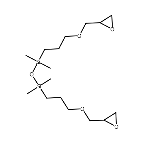 C[Si](C)(CCCOCC1CO1)O[Si](C)(C)CCCOCC1CO1